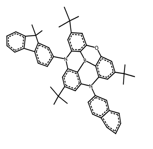 CC(C)(C)c1cc2c3c(c1)N(c1ccc4c(c1)C(C)(C)c1ccccc1-4)c1cc(C(C)(C)C)cc4c1B3c1c(cc(C(C)(C)C)cc1N4c1ccc3ccccc3c1)O2